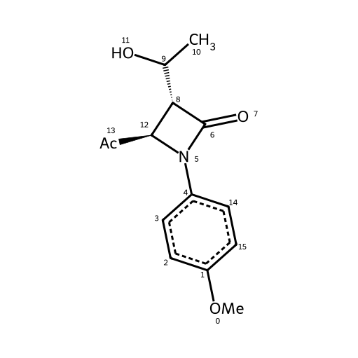 COc1ccc(N2C(=O)[C@@H](C(C)O)[C@@H]2C(C)=O)cc1